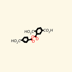 O=C(O)c1ccc(C(=O)OC(=O)c2cc(C(=O)O)ccc2C(=O)O)cc1